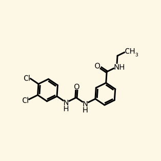 CCNC(=O)c1cccc(NC(=O)Nc2ccc(Cl)c(Cl)c2)c1